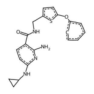 Nc1nc(NC2CC2)ccc1C(=O)NCc1ccc(Oc2ccccc2)s1